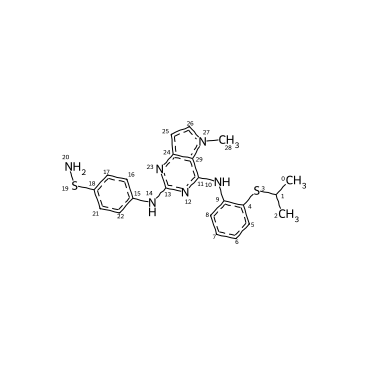 CC(C)Sc1ccccc1Nc1nc(Nc2ccc(SN)cc2)nc2ccn(C)c12